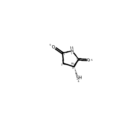 O=C1C[C@@H](S)C(=O)N1